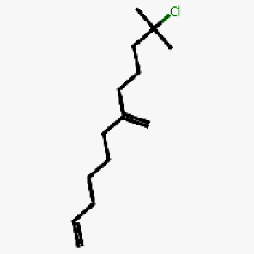 C=CCCCCC(=C)CCCC(C)(C)Cl